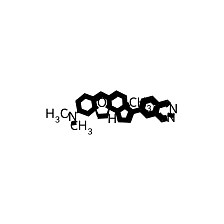 CN(C)[C@@H]1CCC2=CC3=CCC4(C)C(c5ccc6cnncc6c5)=CC[C@H]4[C@@]34CC[C@]2(C1)O4